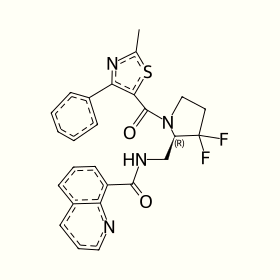 Cc1nc(-c2ccccc2)c(C(=O)N2CCC(F)(F)[C@H]2CNC(=O)c2cccc3cccnc23)s1